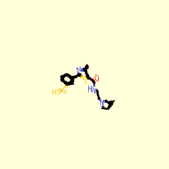 Cc1nc(-c2cccc(SS)c2)sc1C(=O)NCCN1CCCC1